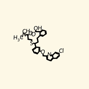 CN(C)C(=O)CCSC(CCc1ccccc1C(=O)O)c1cccc(OCc2ccc3ccc(Cl)cc3n2)c1